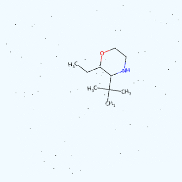 CCC1OCCNC1C(C)(C)C